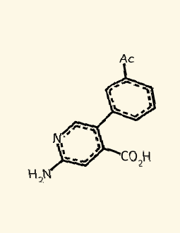 CC(=O)c1cccc(-c2cnc(N)cc2C(=O)O)c1